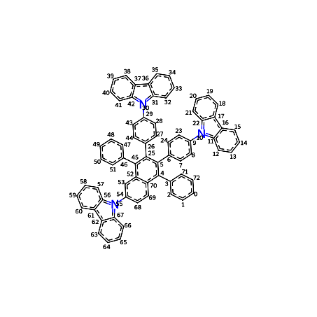 c1ccc(-c2c(-c3ccc(-n4c5ccccc5c5ccccc54)cc3)c(-c3ccc(-n4c5ccccc5c5ccccc54)cc3)c(-c3ccccc3)c3cc(-n4c5ccccc5c5ccccc54)ccc23)cc1